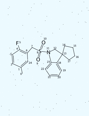 Cc1ccc(F)c(CS(=O)(=O)N2CC3(CCCC3)c3ccccc32)c1